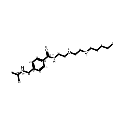 CCCCCOCCOCCNC(=O)c1ccc(CNC(C)C)cc1